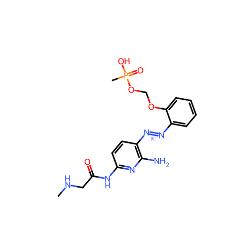 CNCC(=O)Nc1ccc(/N=N/c2ccccc2OCOP(C)(=O)O)c(N)n1